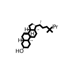 CC(C)C(C)(C)CC[C@@H](C)[C@H]1CC[C@H]2C3=CC[C@H]4C[C@@H](O)CC[C@]4(C)[C@H]3CC[C@]12C